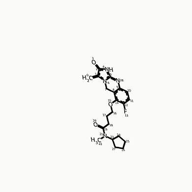 C=c1c(=O)[nH]c2n1Cc1c(ccc(F)c1OCCCC(=O)N(C)C1CCCC1)N=2